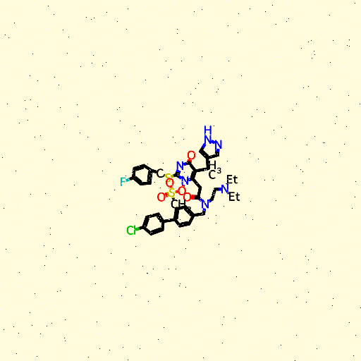 CCN(CC)CCN(Cc1ccc(-c2ccc(Cl)cc2)cc1)C(=O)Cc1c(C(C)c2cn[nH]c2)c(=O)nc(SCc2ccc(F)cc2)n1OS(C)(=O)=O